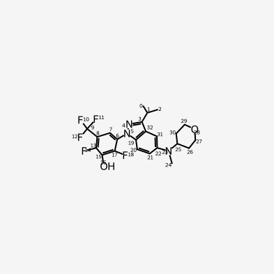 CC(C)c1nn(-c2cc(C(F)(F)F)c(F)c(O)c2F)c2ccc(N(C)C3CCOCC3)cc12